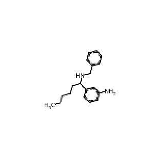 CCCCCC(NCc1ccccc1)c1cccc(N)c1